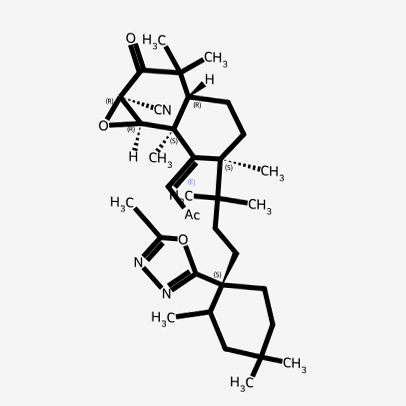 CC(=O)/C=C1/[C@@]2(C)[C@H]3O[C@@]3(C#N)C(=O)C(C)(C)[C@@H]2CC[C@@]1(C)C(C)(C)CC[C@@]1(c2nnc(C)o2)CCC(C)(C)CC1C